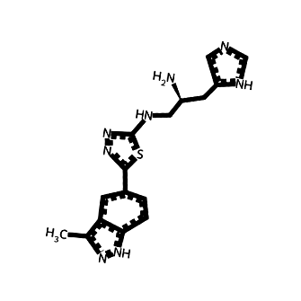 Cc1n[nH]c2ccc(-c3nnc(NC[C@@H](N)Cc4cnc[nH]4)s3)cc12